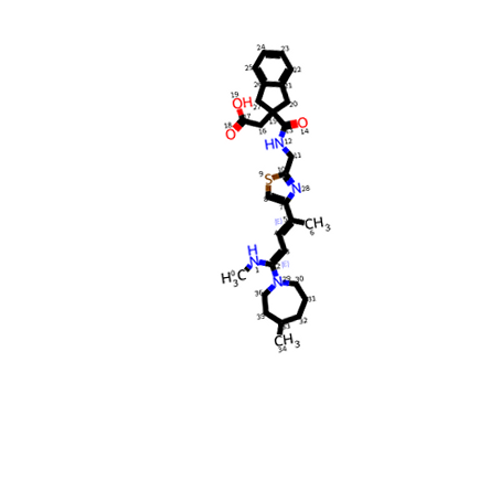 CN/C(=C\C=C(/C)c1csc(CNC(=O)C2(CC(=O)O)Cc3ccccc3C2)n1)N1CCCC(C)CC1